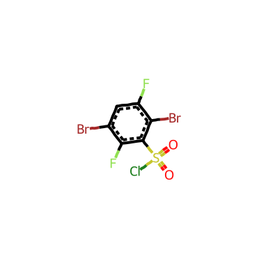 O=S(=O)(Cl)c1c(F)c(Br)cc(F)c1Br